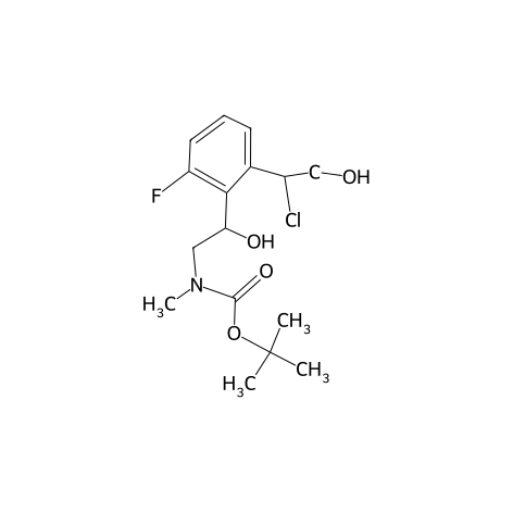 CN(CC(O)c1c(F)cccc1C(Cl)CO)C(=O)OC(C)(C)C